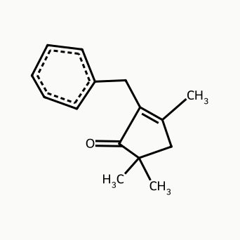 CC1=C(Cc2ccccc2)C(=O)C(C)(C)C1